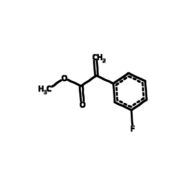 C=C(C(=O)OC)c1cccc(F)c1